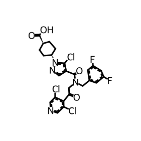 O=C(CN(Cc1cc(F)cc(F)c1)C(=O)c1cnn([C@H]2CC[C@H](C(=O)O)CC2)c1Cl)c1c(Cl)cncc1Cl